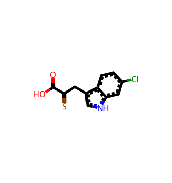 O=C(O)C(=S)Cc1c[nH]c2cc(Cl)ccc12